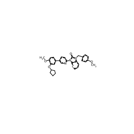 COc1ccc(Cn2c(=O)n(-c3ccc(-c4ccc(OC)c(OC5CCCC5)c4)cn3)c3ccccc32)cc1